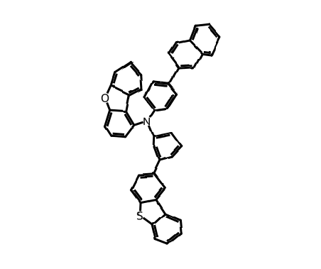 c1cc(-c2ccc3sc4ccccc4c3c2)cc(N(c2ccc(-c3ccc4ccccc4c3)cc2)c2cccc3oc4ccccc4c23)c1